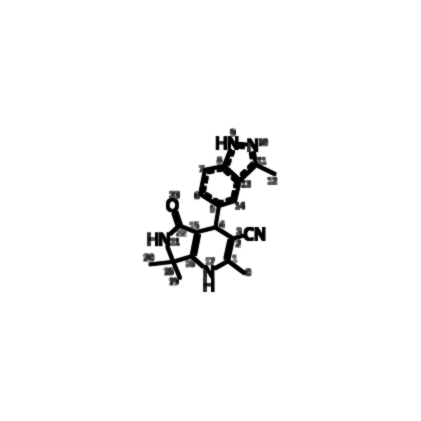 CC1=C(C#N)C(c2ccc3[nH]nc(C)c3c2)C2=C(N1)C(C)(C)NC2=O